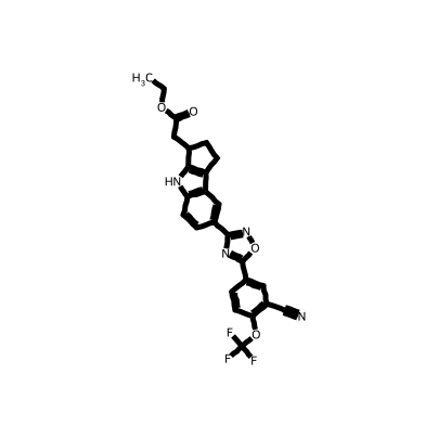 CCOC(=O)CC1CCc2c1[nH]c1ccc(-c3noc(-c4ccc(OC(F)(F)F)c(C#N)c4)n3)cc21